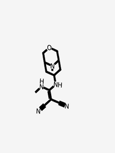 CNC(NC1CC2COCC(C1)N2C)=C(C#N)C#N